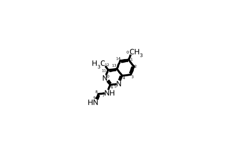 Cc1ccc2nc(NC=N)nc(C)c2c1